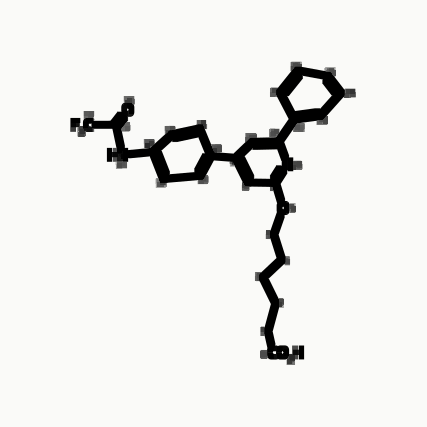 O=C(O)CCCCCOc1cc(-c2ccc(NC(=O)C(F)(F)F)cc2)cc(-c2ccccc2)n1